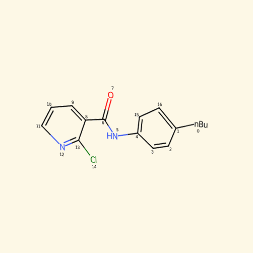 CCCCc1ccc(NC(=O)c2cccnc2Cl)cc1